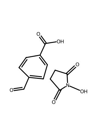 O=C1CCC(=O)N1O.O=Cc1ccc(C(=O)O)cc1